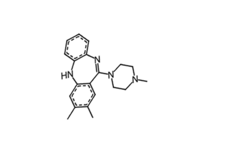 Cc1cc2c(cc1C)C(N1CCN(C)CC1)=Nc1ccccc1N2